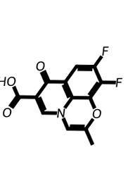 CC1=Cn2cc(C(=O)O)c(=O)c3cc(F)c(F)c(c32)O1